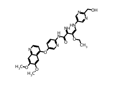 CCO/C(=C/Nc1cnc(CO)nc1)C(=N)C(=O)Nc1ccc(Oc2ccnc3cc(OC)c(OC)cc23)cn1